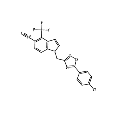 [C-]#[N+]c1ccc2c(ccn2Cc2noc(-c3ccc(Cl)cc3)n2)c1C(F)(F)F